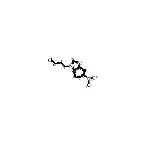 O=[N+]([O-])c1ccc2c(c1)ncn2CCCCl